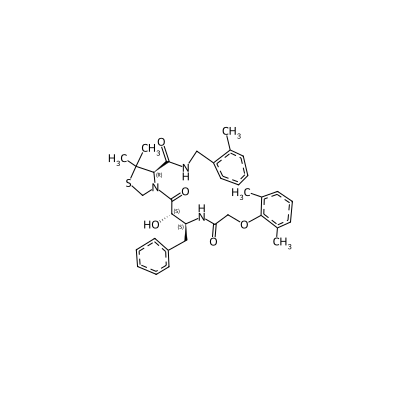 Cc1ccccc1CNC(=O)[C@H]1N(C(=O)[C@@H](O)[C@H](Cc2ccccc2)NC(=O)COc2c(C)cccc2C)CSC1(C)C